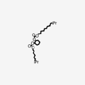 CC(C)CCCCCCCCCOC(=O)OC1CCCCC1OC(=O)OCCCCCCC(C)C